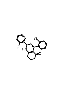 O=C1CCCC2=C1C(c1ccccc1Cl)=NC(c1ncccc1F)N2